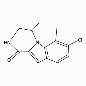 Cc1c(Cl)ccc2cc3n(c12)C(C)CNC3=O